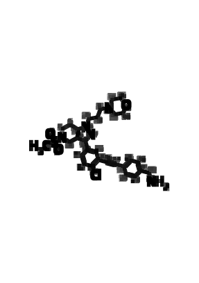 CS(=O)(=O)N1CCc2c(c(-c3ccc(Cl)c(C#Cc4ccc(CN)cc4)c3)nn2CCCN2CCOCC2)C1